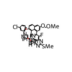 COCOc1cc(-c2nc(Nc3cnn(-c4cccc(Cl)c4)c3)c3cnc(SC)nc3c2F)c2c(C#C[Si](C(C)C)(C(C)C)C(C)C)c(F)ccc2c1